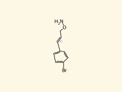 NOC/C=C/c1ccc(Br)cc1